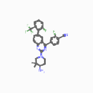 CC1(C)CN(c2nc(-c3ccc(C#N)c(F)c3)c3cc(-c4c(F)cccc4C(F)(F)F)ccc3n2)CCC1N